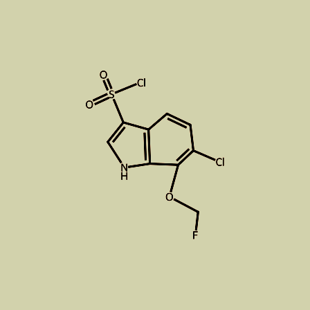 O=S(=O)(Cl)c1c[nH]c2c(OCF)c(Cl)ccc12